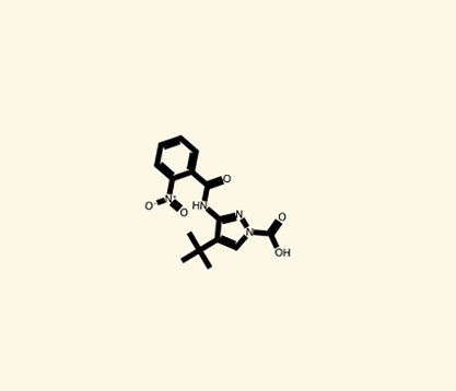 CC(C)(C)c1cn(C(=O)O)nc1NC(=O)c1ccccc1[N+](=O)[O-]